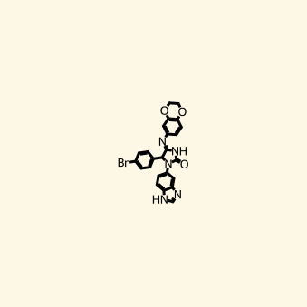 O=C1NC(=Nc2ccc3c(c2)OCCO3)C(c2ccc(Br)cc2)N1c1ccc2[nH]cnc2c1